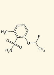 Cc1cccc(OC(C)F)c1S(N)(=O)=O